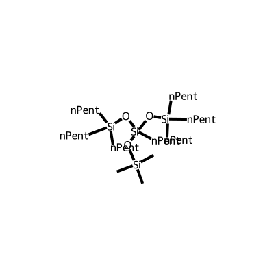 CCCCC[Si](CCCCC)(CCCCC)O[Si](CCCCC)(O[Si](C)(C)C)O[Si](CCCCC)(CCCCC)CCCCC